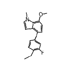 CCc1ccc(-c2ccc(OC)c3c2ccn3C)cc1F